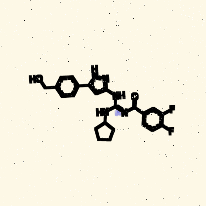 O=C(/N=C(\Nc1cc(-c2ccc(CO)cc2)[nH]n1)NC1CCCC1)c1ccc(F)c(F)c1